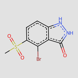 CS(=O)(=O)c1ccc2[nH][nH]c(=O)c2c1Br